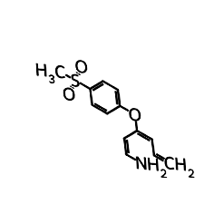 C=C/C=C(\C=C/N)Oc1ccc(S(C)(=O)=O)cc1